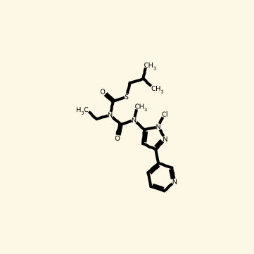 CCN(C(=O)SCC(C)C)C(=O)N(C)c1cc(-c2cccnc2)nn1Cl